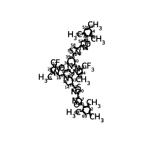 Cc1cc(C)c([C@H]2CC(c3csc(C4CCN(C(Cn5nc(C(F)(F)F)cc5C)C(=O)C(Cn5nc(C(F)(F)F)cc5C)N5CCC(c6nc(C7=NO[C@@H](c8c(C)cc(C)cc8C)C7)cs6)CC5)CC4)n3)=NO2)c(C)c1